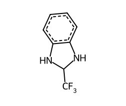 FC(F)(F)C1Nc2ccccc2N1